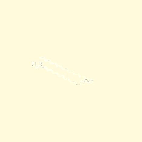 CCCCCCCC/C=C\CCCCCCCCCCCCN.CCCCCCCCCCCCCCCCCC